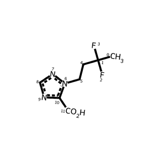 CC(F)(F)CCn1ncnc1C(=O)O